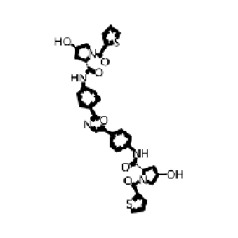 O=C(Nc1ccc(-c2cnc(-c3ccc(NC(=O)[C@@H]4C[C@@H](O)CN4C(=O)c4cccs4)cc3)o2)cc1)[C@@H]1C[C@@H](O)CN1C(=O)c1cccs1